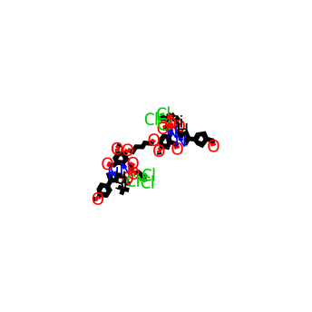 COc1ccc(C2=CN3C(=O)c4cc(OC)c(OCCCCCOc5cc6c(cc5OC)C(=O)N5C=C(c7ccc(C=O)cc7)C[C@H]5[C@H](O[Si](C)(C)C(C)(C)C)N6C(=O)OCC(Cl)(Cl)Cl)cc4N(C(=O)OCC(Cl)(Cl)Cl)[C@@H](O[Si](C)(C)C(C)(C)C)[C@@H]3C2)cc1